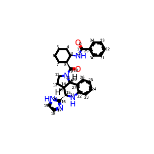 O=C(N[C@@H]1CCCC[C@@H]1C(=O)N1CC[C@@H]2[C@@H](c3ncc[nH]3)Nc3ccccc3[C@H]21)c1ccccc1